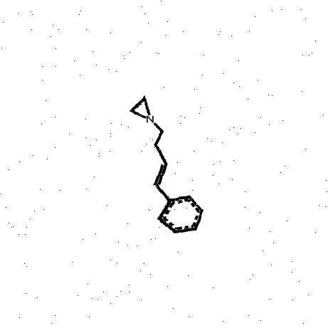 C(=Cc1ccccc1)CCN1CC1